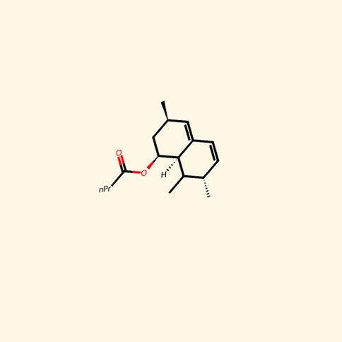 CCCC(=O)O[C@H]1C[C@@H](C)C=C2C=C[C@H](C)C(C)[C@H]21